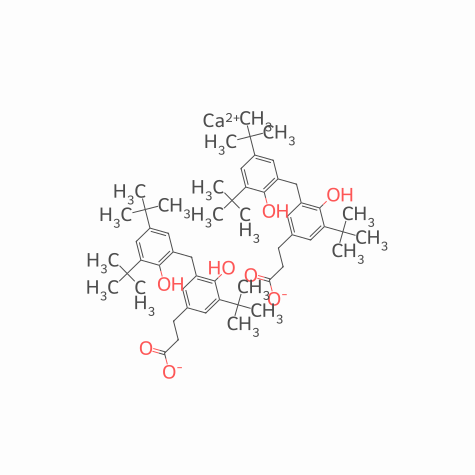 CC(C)(C)c1cc(Cc2cc(CCC(=O)[O-])cc(C(C)(C)C)c2O)c(O)c(C(C)(C)C)c1.CC(C)(C)c1cc(Cc2cc(CCC(=O)[O-])cc(C(C)(C)C)c2O)c(O)c(C(C)(C)C)c1.[Ca+2]